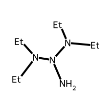 CCN(CC)N(N)N(CC)CC